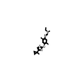 CCN(C)C=Nc1cc(C)c(Oc2nc(C3(C)CC3)cs2)cc1C